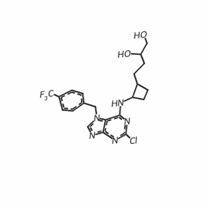 OCC(O)CCC1CCC1Nc1nc(Cl)nc2ncn(Cc3ccc(C(F)(F)F)cc3)c12